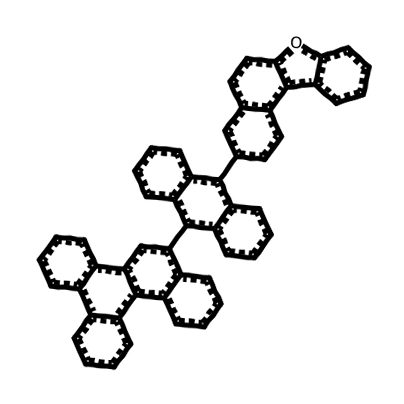 c1ccc2c(c1)oc1ccc3cc(-c4c5ccccc5c(-c5cc6c7ccccc7c7ccccc7c6c6ccccc56)c5ccccc45)ccc3c12